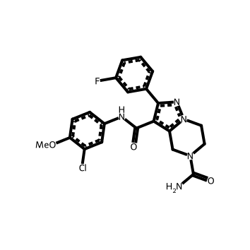 COc1ccc(NC(=O)c2c(-c3cccc(F)c3)nn3c2CN(C(N)=O)CC3)cc1Cl